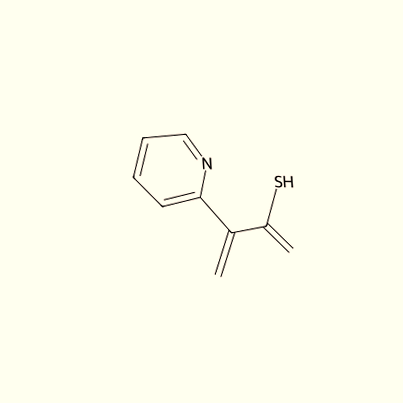 C=C(S)C(=C)c1ccccn1